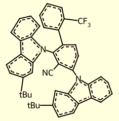 CC(C)(C)c1ccc2c3ccccc3n(-c3ccc(-c4ccccc4C(F)(F)F)c(-n4c5ccccc5c5ccc(C(C)(C)C)cc54)c3C#N)c2c1